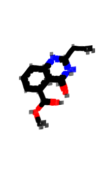 CCc1nc2cccc(C(=O)OC)c2c(=O)[nH]1